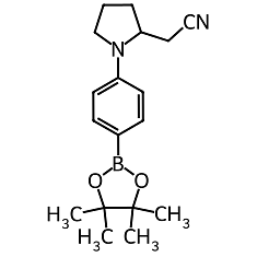 CC1(C)OB(c2ccc(N3CCCC3CC#N)cc2)OC1(C)C